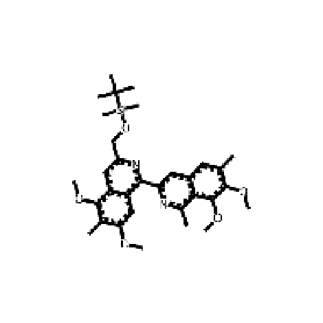 COc1cc2c(-c3cc4cc(C)c(OC)c(OC)c4c(C)n3)nc(CO[Si](C)(C)C(C)(C)C)cc2c(OC)c1C